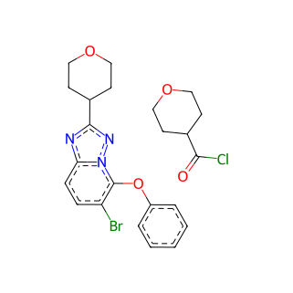 Brc1ccc2nc(C3CCOCC3)nn2c1Oc1ccccc1.O=C(Cl)C1CCOCC1